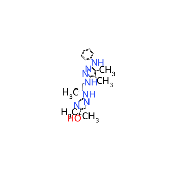 Cc1c(NC[C@@H](C)Nc2cnc(C(C)(C)O)cn2)nnc(Nc2ccccc2)c1C